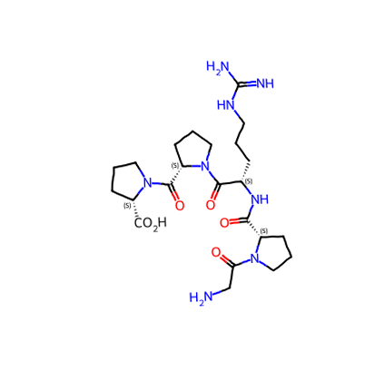 N=C(N)NCCC[C@H](NC(=O)[C@@H]1CCCN1C(=O)CN)C(=O)N1CCC[C@H]1C(=O)N1CCC[C@H]1C(=O)O